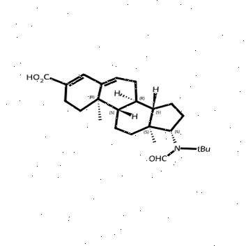 CC(C)(C)N(C=O)[C@H]1CC[C@H]2[C@@H]3CC=C4C=C(C(=O)O)CC[C@]4(C)[C@H]3CC[C@]12C